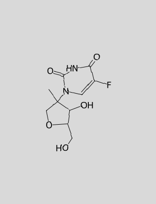 CC1(n2cc(F)c(=O)[nH]c2=O)COC(CO)C1O